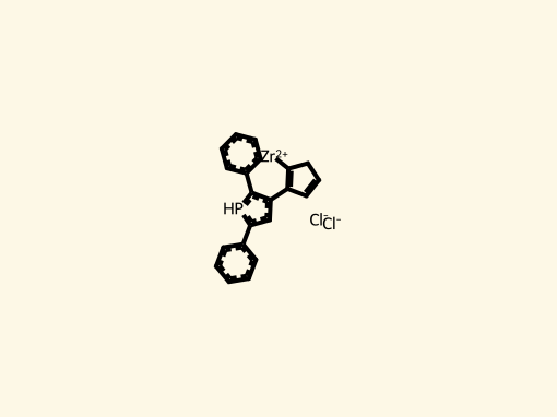 [Cl-].[Cl-].[Zr+2][C]1=C(c2cc(-c3ccccc3)[pH]c2-c2ccccc2)C=CC1